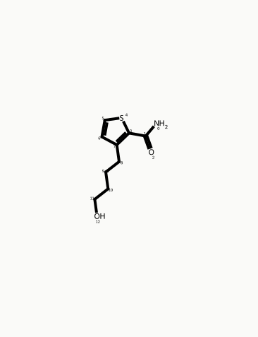 NC(=O)c1sccc1C[CH]CCO